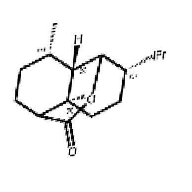 CC(C)[C@@H]1CC[C@@]2(C)C3CC[C@H](C)[C@@H]2C1OC3=O